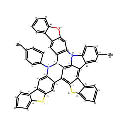 CC(C)(C)c1ccc(N2B3c4cc5c(cc4-n4c6ccc(C(C)(C)C)cc6c6c7c(sc8ccccc87)c(c3c64)-c3cc4sc6ccccc6c4cc32)oc2ccccc25)cc1